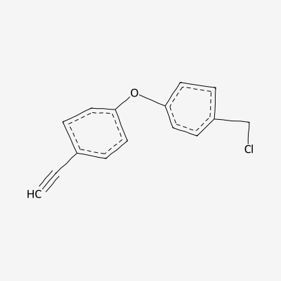 C#Cc1ccc(Oc2ccc(CCl)cc2)cc1